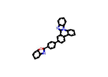 c1ccc2oc(-c3ccc(-c4ccc5c6ccccc6n6c7ccccc7nc6c5c4)cc3)nc2c1